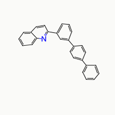 c1ccc(-c2ccc(-c3cccc(-c4ccc5ccccc5n4)c3)cc2)cc1